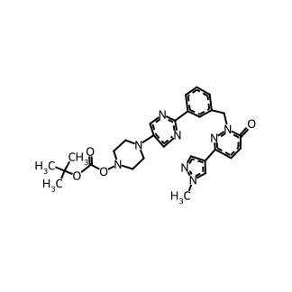 Cn1cc(-c2ccc(=O)n(Cc3cccc(-c4ncc(N5CCN(OC(=O)OC(C)(C)C)CC5)cn4)c3)n2)cn1